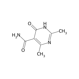 Cc1nc(C)c(C(N)=O)c(=O)[nH]1